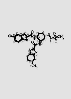 CN1CCc2nc(C(=O)N[C@@H]3C[C@@H](CNS(C)(=O)=O)CC[C@@H]3NC(=O)c3cc4cc(Cl)ccc4[nH]3)sc2C1